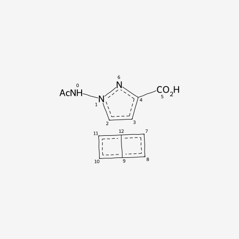 CC(=O)Nn1ccc(C(=O)O)n1.c1cc2ccc1-2